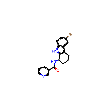 O=C(NC1CCCc2c1[nH]c1ccc(Br)cc21)c1cccnc1